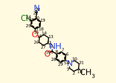 CC1CCN(c2ccc(C(=O)N[C@H]3CC[C@H](Oc4ccc(C#N)c(Cl)c4)CC3)cc2)CC1